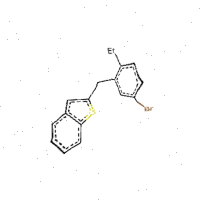 CCc1ccc(Br)cc1Cc1cc2ccccc2s1